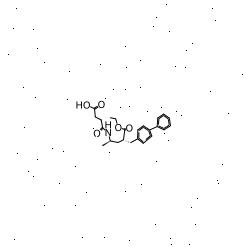 CCOC(=O)[C@H](Cc1ccc(-c2ccccc2)cc1)C[C@@H](C)NC(=O)CCC(=O)O